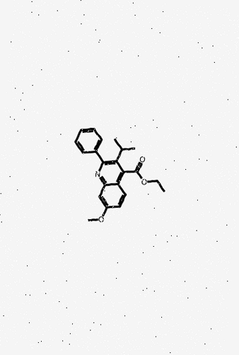 CCOC(=O)c1c(C(C)C)c(-c2ccccc2)nc2cc(OC)ccc12